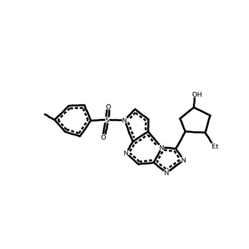 CCC1CC(O)CC1c1nnc2cnc3c(ccn3S(=O)(=O)c3ccc(C)cc3)n12